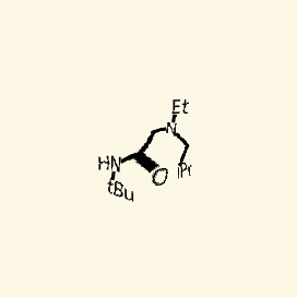 CCN(CC(=O)NC(C)(C)C)CC(C)C